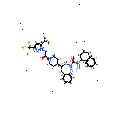 O=C(Cn1nc(C(F)(F)F)cc1C(F)F)N1CCC(C2Cc3ccccc3NN(C(=O)NC3CCCc4ccccc43)C2)CC1